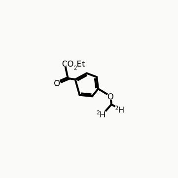 [2H]C([2H])Oc1ccc(C(=O)C(=O)OCC)cc1